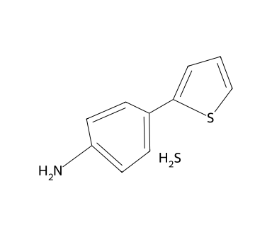 Nc1ccc(-c2cccs2)cc1.S